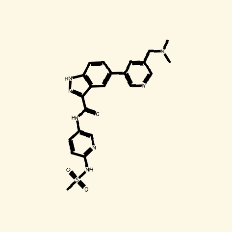 CN(C)Cc1cncc(-c2ccc3[nH]nc(C(=O)Nc4ccc(NS(C)(=O)=O)nc4)c3c2)c1